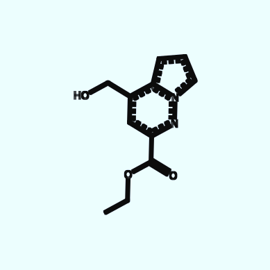 CCOC(=O)c1cc(CO)c2cccn2n1